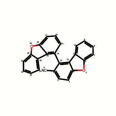 N#Cc1ccc2oc3ccccc3c2c1-c1cccc2oc3ccccc3c12